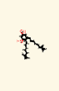 CC1(CCCCCCc2cc(O)cc(O)c2CCCCCC2(C)CC2)CC1